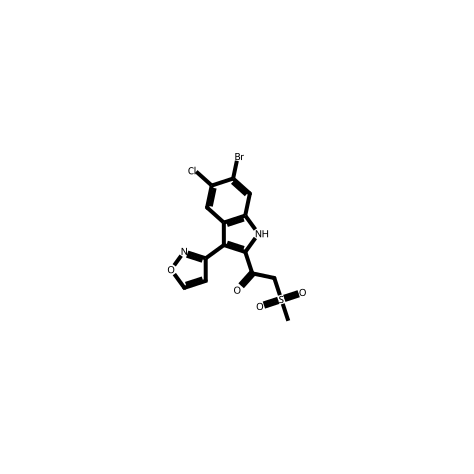 CS(=O)(=O)CC(=O)c1[nH]c2cc(Br)c(Cl)cc2c1-c1ccon1